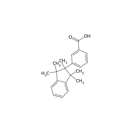 CC1(C)c2ccccc2C(C)(C)C1(C)c1cccc(C(=O)O)c1